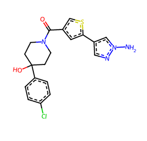 Nn1cc(-c2cc(C(=O)N3CCC(O)(c4ccc(Cl)cc4)CC3)cs2)cn1